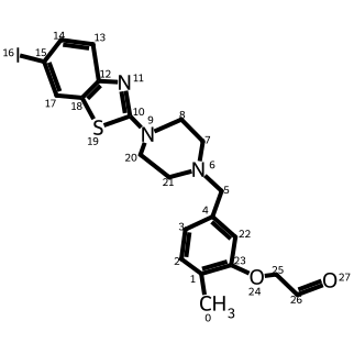 Cc1ccc(CN2CCN(c3nc4ccc(I)cc4s3)CC2)cc1OCC=O